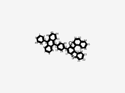 c1ccc(-c2c3ccccc3c(-c3ccc(-c4cc5sc6ccccc6c5c5c4oc4ccc6ccccc6c45)cc3)c3ccccc23)cc1